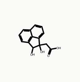 O=C(O)CC1(O)c2cccc3cccc(c23)C1O